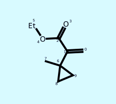 C=C(C(=O)OCC)C1(C)CC1